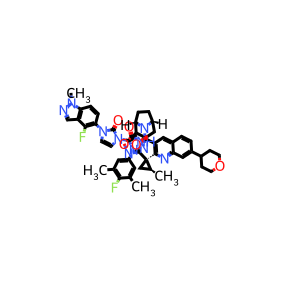 Cc1cc(-n2nc3c(c2-n2ccn(-c4ccc5c(cnn5C)c4F)c2=O)[C@@H]2CC[C@H](C3)N2C(=O)c2cc3ccc(C4CCOCC4)cc3nc2[C@@]2(c3noc(=O)[nH]3)C[C@@H]2C)cc(C)c1F